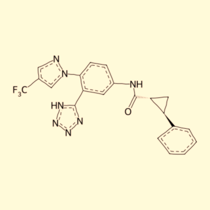 O=C(Nc1ccc(-n2cc(C(F)(F)F)cn2)c(-c2nnn[nH]2)c1)[C@@H]1C[C@H]1c1ccccc1